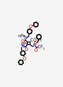 CCCN(Cc1ccc(Oc2ccccc2)cc1)C(=O)C1C(CN(OCc2ccccc2)C(=O)C(F)(F)F)C(C(=O)O)C1C(=O)N(CCC)Cc1ccc(Oc2ccccc2)cc1